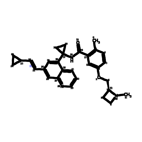 Cc1ccc(OC[C@@H]2CCN2C)cc1C(=O)NC1(c2cc(/C=C/C3CC3)cc3ncccc23)CC1